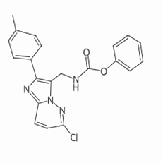 Cc1ccc(-c2nc3ccc(Cl)nn3c2CNC(=O)Oc2ccccc2)cc1